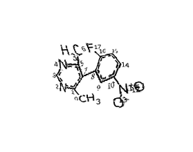 Cc1ncnc(C)c1-c1cc([N+](=O)[O-])ccc1F